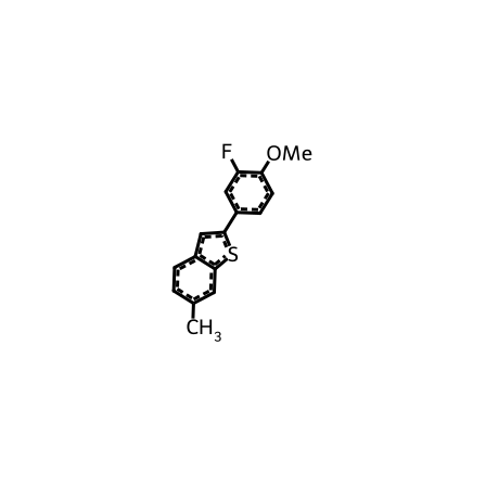 COc1ccc(-c2cc3ccc(C)cc3s2)cc1F